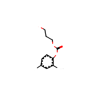 COc1cc(C)ccc1OC(=O)OCCCO